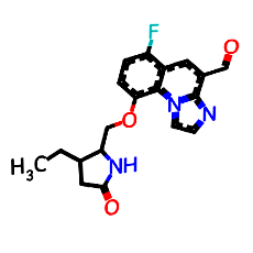 CCC1CC(=O)NC1COc1ccc(F)c2cc(C=O)c3nccn3c12